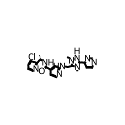 C[C@H](NC(=O)c1ccnc(NCC2N(C)NC(c3ccncn3)N2C)c1)c1ncccc1Cl